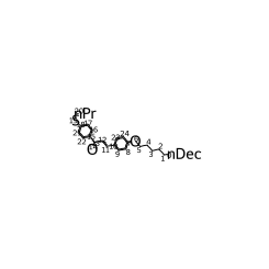 CCCCCCCCCCCCCCCOc1ccc(C=CC(=O)c2ccc(SCCC)cc2)cc1